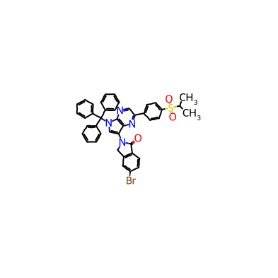 CC(C)S(=O)(=O)c1ccc(-c2cnc3c(n2)c(N2Cc4cc(Br)ccc4C2=O)cn3C(c2ccccc2)(c2ccccc2)c2ccccc2)cc1